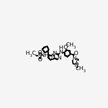 CCS(=O)(=O)Nc1ccccc1-c1ccc2cnc(Nc3ccc(C(=O)N4CCN(C)CC4)cc3OC)nn12